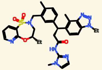 CC[C@@H]1CN(Cc2cc([C@H](CC(=O)Nc3nccn3C)c3ccc4c(nnn4CC)c3C)ccc2C)S(=O)(=O)c2cccnc2O1